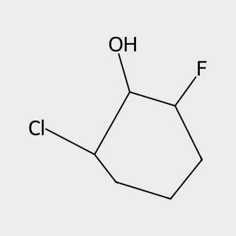 OC1C(F)CCCC1Cl